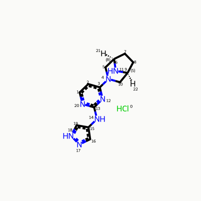 Cl.c1cc(N2C[C@H]3CC[C@@H](C2)N3)nc(Nc2cn[nH]c2)n1